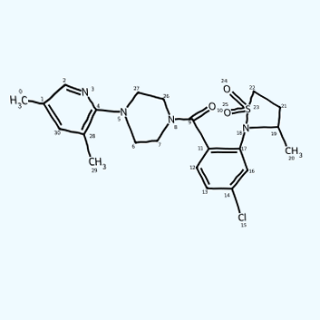 Cc1cnc(N2CCN(C(=O)c3ccc(Cl)cc3N3C(C)CCS3(=O)=O)CC2)c(C)c1